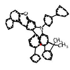 CC1(C)c2ccccc2-c2ccc(N(c3ccc(-c4ccccc4)cc3)c3cc4oc5ccc6ccccc6c5c4cc3-c3ccc(-c4ccccc4)cc3)cc21